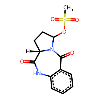 CS(=O)(=O)OC1CC[C@H]2C(=O)Nc3ccccc3C(=O)N12